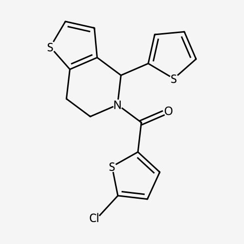 O=C(c1ccc(Cl)s1)N1CCc2sccc2C1c1cccs1